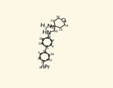 CCCc1ccc(-c2ccc(NCC3(N)CCOCC3)cc2)cc1